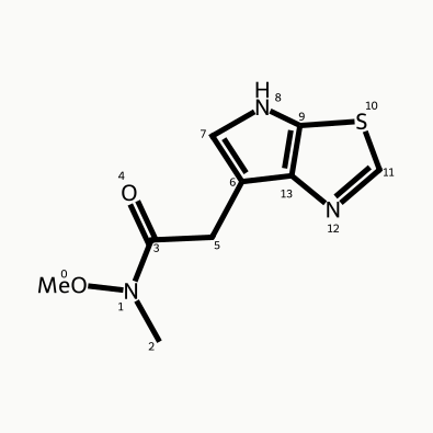 CON(C)C(=O)Cc1c[nH]c2scnc12